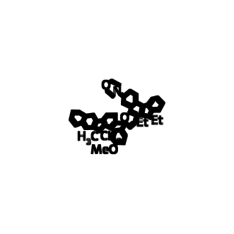 CCC1(CC)c2ccccc2-c2c1c1c(c3c2=CCC(N2CCOCC2)C=3)OC(c2ccc(OC)cc2)(c2ccc3c(c2)C(C)(C)C2=C3CC3C=CC=CC3=C2)C=C1